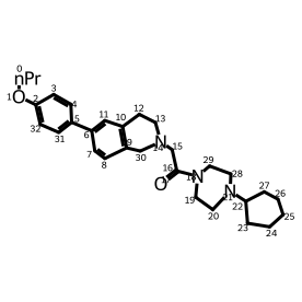 CCCOc1ccc(-c2ccc3c(c2)CCN(CC(=O)N2CCN(C4CCCCC4)CC2)C3)cc1